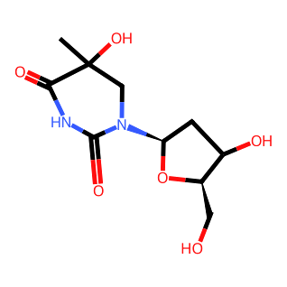 CC1(O)CN([C@H]2CC(O)[C@@H](CO)O2)C(=O)NC1=O